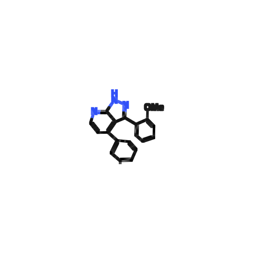 COc1ccccc1-c1n[nH]c2nccc(-c3c[c]ccc3)c12